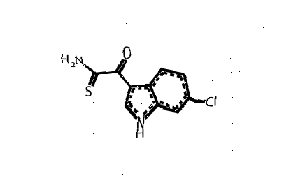 NC(=S)C(=O)c1c[nH]c2cc(Cl)ccc12